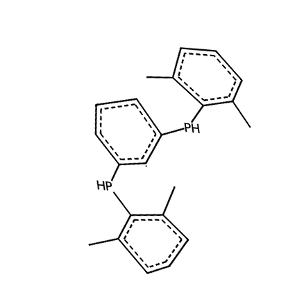 Cc1cccc(C)c1Pc1[c]c(Pc2c(C)cccc2C)ccc1